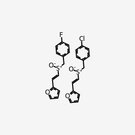 [O-][S+](/C=C/c1ccco1)Cc1ccc(Cl)cc1.[O-][S+](C=Cc1ccco1)Cc1ccc(F)cc1